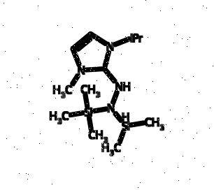 CC(C)N1C=CN(C)C1NN([SiH](C)C)[Si](C)(C)C